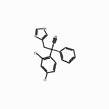 N#CC(Cc1c[nH]cn1)(c1ccccc1)c1ccc(Cl)cc1Cl